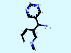 C=N/C=C(\C=C/C)C(N)c1cncnc1